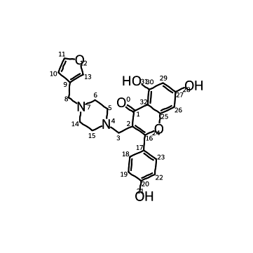 O=c1c(CN2CCN(Cc3ccoc3)CC2)c(-c2ccc(O)cc2)oc2cc(O)cc(O)c12